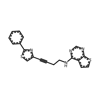 C(#Cc1csc(-c2ccccc2)n1)CCNc1ncnc2sccc12